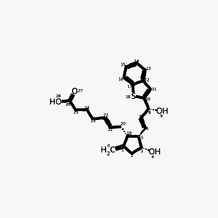 C=C1C[C@@H](O)[C@H](C=C[C@@H](O)c2cc3ccccc3s2)[C@H]1CC=CCCCC(=O)O